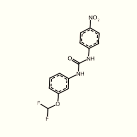 O=C(Nc1ccc([N+](=O)[O-])cc1)Nc1cccc(OC(F)F)c1